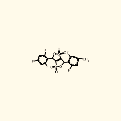 Cc1cc(F)c(C2OS(=O)(=O)C3=C2S(=O)(=O)OC3c2c(F)cc(F)cc2F)c(F)c1